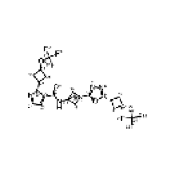 O=C(NC12CC(c3nnc([C@H]4C[C@@H](OC(F)(F)F)C4)o3)(C1)C2)c1ccnn1C1CC(OC(F)(F)F)C1